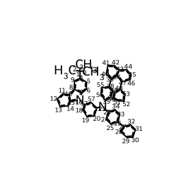 CC(C)(C)c1ccc2c(c1)c1ccccc1n2-c1cccc(N(c2ccc(-c3ccccc3)cc2)c2ccc(-c3cccc4cccc(-c5ccccc5)c34)cc2)c1